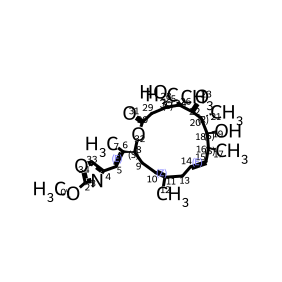 COc1nc(/C=C(\C)[C@@H]2C/C=C(/C)C/C=C/[C@H](C)[C@H](O)[C@@H](C)C(=O)C(C)(C)[C@@H](O)CC(=O)O2)co1